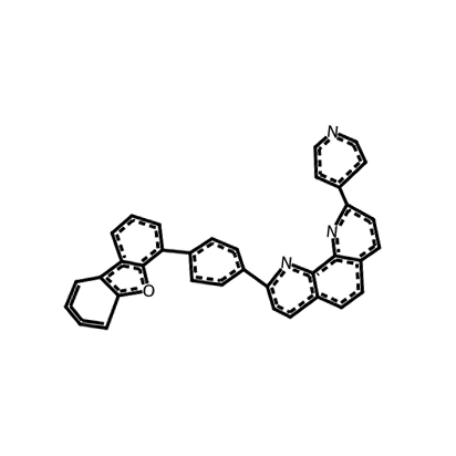 C1=C=Cc2c(oc3c(-c4ccc(-c5ccc6ccc7ccc(-c8ccncc8)nc7c6n5)cc4)cccc23)C=1